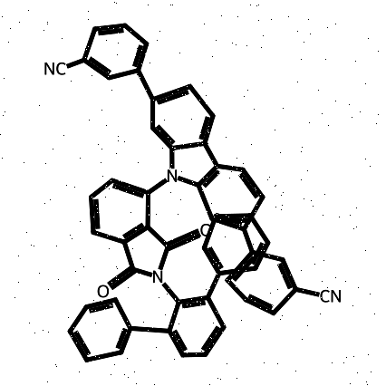 N#Cc1cccc(-c2ccc3c4ccc(-c5cccc(C#N)c5)cc4n(-c4cccc5c4C(=O)N(c4c(-c6ccccc6)cccc4-c4ccccc4)C5=O)c3c2)c1